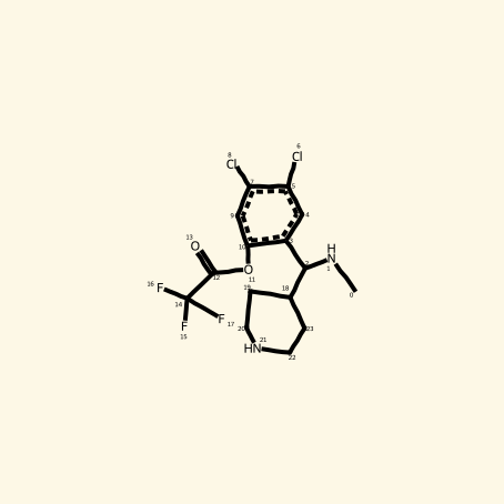 CNC(c1cc(Cl)c(Cl)cc1OC(=O)C(F)(F)F)C1CCNCC1